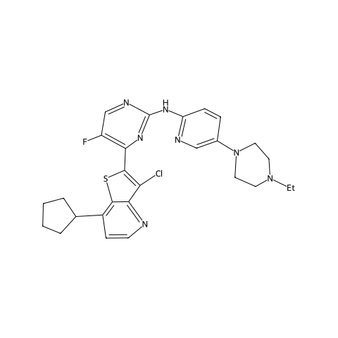 CCN1CCN(c2ccc(Nc3ncc(F)c(-c4sc5c(C6CCCC6)ccnc5c4Cl)n3)nc2)CC1